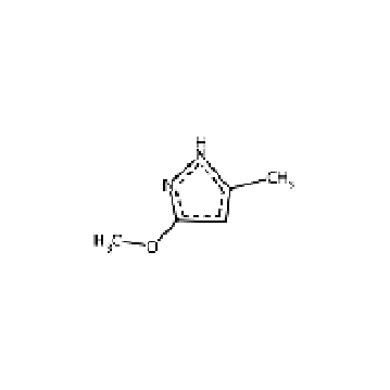 COc1cc(C)[nH]n1